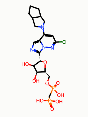 O=P(O)(O)CP(=O)(O)OC[C@H]1O[C@@H](c2ncc3c(N4CC5CCCC5C4)cc(Cl)nn23)[C@H](O)[C@@H]1O